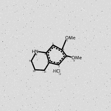 COc1cc2c(cc1OC)NCCC2.Cl